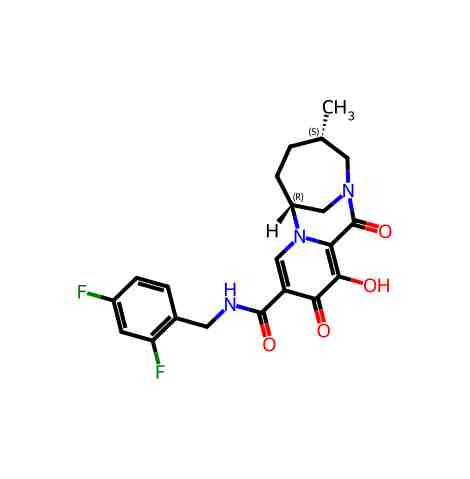 C[C@H]1CC[C@@H]2CN(C1)C(=O)c1c(O)c(=O)c(C(=O)NCc3ccc(F)cc3F)cn12